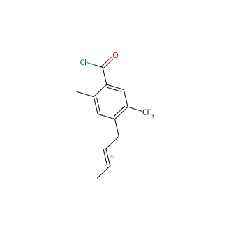 C/C=C/Cc1cc(C)c(C(=O)Cl)cc1C(F)(F)F